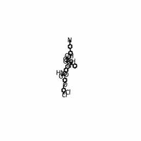 N#Cc1ccc(-c2ccc(CC(NC(=O)[C@@H]3Cc4cc5c(cc4CN3C(=O)c3ccccc3)O[C@@H](c3ccc(OCc4ccc(Cl)c(Cl)c4)cc3)C(=O)N5)C(=O)O)cc2)cc1